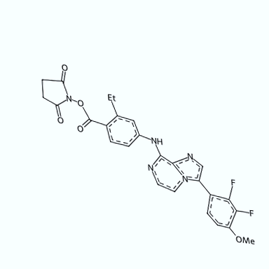 CCc1cc(Nc2nccn3c(-c4ccc(OC)c(F)c4F)cnc23)ccc1C(=O)ON1C(=O)CCC1=O